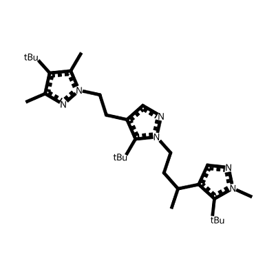 Cc1nn(CCc2cnn(CCC(C)c3cnn(C)c3C(C)(C)C)c2C(C)(C)C)c(C)c1C(C)(C)C